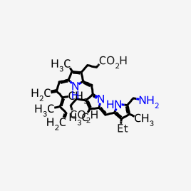 C=C/C(C)=C(\C)C(=C)/C=c1\[nH]/c(=C\C2=NC(=C\c3[nH]c(CN)c(C)c3CC)/C(C)=C2CCC(=O)O)c(CCC(=O)O)c1C